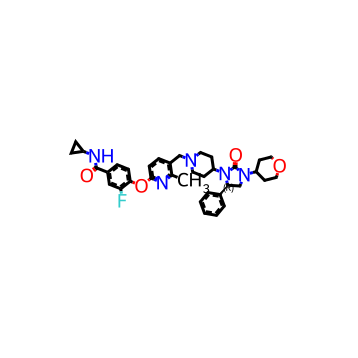 Cc1nc(Oc2ccc(C(=O)NC3CC3)cc2F)ccc1CN1CCC(N2C(=O)N(C3CCOCC3)C[C@H]2c2ccccc2)CC1